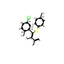 C=C(C)/C(C)=C(\Sc1ccc(C)cc1)c1cc(Cl)ccc1C